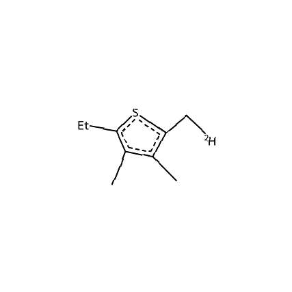 [2H]Cc1sc(CC)c(C)c1C